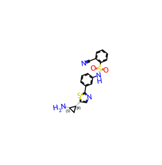 N#Cc1ccccc1S(=O)(=O)Nc1cccc(-c2ncc([C@@H]3C[C@@H]3N)s2)c1